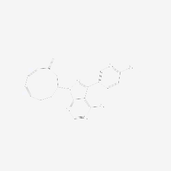 C=C1/C=C\C=C/CCC(n2nc(-c3ccc(N)nc3)c3c(N)ncnc32)C1